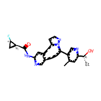 CC[C@@H](O)c1cc(C)c(-c2cc3cnc(NC(=O)[C@H]4C[C@H]4F)cc3c3ccnn23)cn1